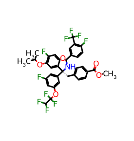 COC(=O)c1ccc(C[C@](NC(=O)c2ccc(F)c(C(F)(F)F)c2)(c2cc(F)cc(OC(F)(F)C(F)F)c2)c2ccc(F)c(OC(C)C)c2)cc1